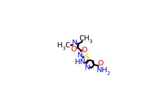 CCc1nc(C)oc1C(=O)/N=c1/[nH]c2ncc(C(N)=O)cc2s1